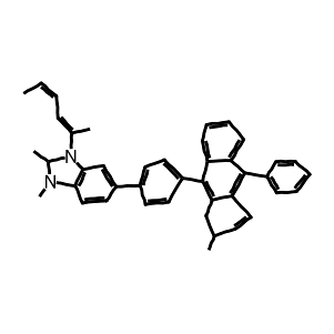 C/C=C\C=C(/C)N1c2cc(-c3ccc(-c4c5c(c(-c6ccccc6)c6ccccc46)C=CC(C)C5)cc3)ccc2N(C)C1C